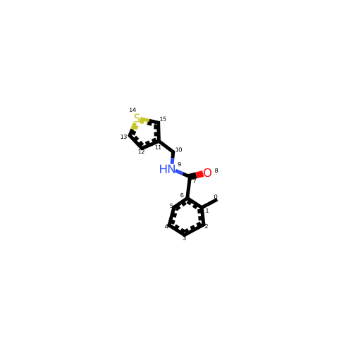 Cc1ccccc1C(=O)NCc1ccsc1